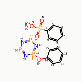 O=S(=O)([O-])c1ccccc1.[K+].c1ccc(O[PH]2=NP=NP=N2)cc1